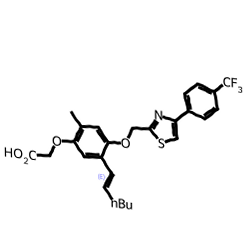 CCCC/C=C/c1cc(OCC(=O)O)c(C)cc1OCc1nc(-c2ccc(C(F)(F)F)cc2)cs1